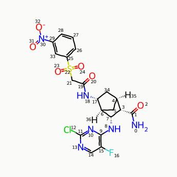 NC(=O)[C@H]1[C@H]2C[C@@H]([C@H]1Nc1nc(Cl)ncc1F)[C@H](NC(=O)CS(=O)(=O)c1cccc([N+](=O)[O-])c1)C2